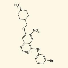 CN1CCC(COc2cc3ncnc(Nc4cccc(Br)c4)c3cc2[N+](=O)[O-])CC1